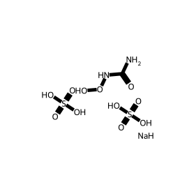 NC(=O)NOO.O=S(=O)(O)O.O=S(=O)(O)O.[NaH]